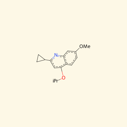 COc1ccc2c(OC(C)C)cc(C3CC3)nc2c1